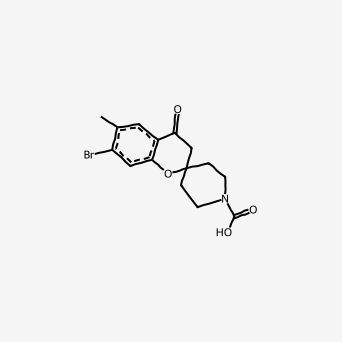 Cc1cc2c(cc1Br)OC1(CCN(C(=O)O)CC1)CC2=O